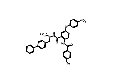 CC(C)(C)c1ccc(C(=O)Nc2ccc(Oc3ccc([N+](=O)[O-])cc3)cc2C(=O)N[C@@H](Cc2ccc(-c3ccccc3)cc2)C(=O)O)cc1